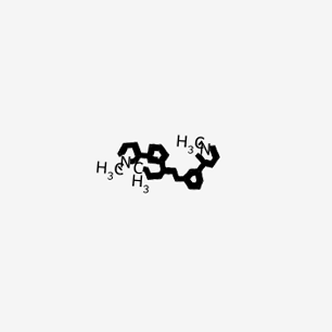 CC/C=C\C(=C/Cc1cccc(C2=CC=CN(C)C2)c1)c1cccc(C2=CC=CN(C)C2)c1